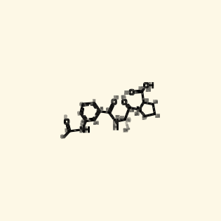 CC(=O)Nc1cccc(C(=O)N[C@@H](C)C(=O)N2CCCC2C(=O)O)c1